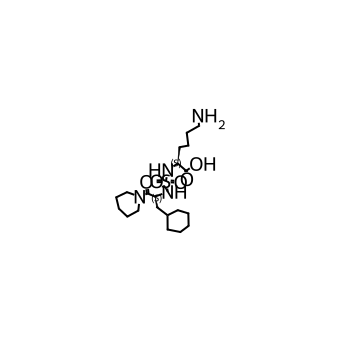 NCCCC[C@H](NS(=O)(=O)N[C@@H](CC1CCCCC1)C(=O)N1CCCCC1)C(=O)O